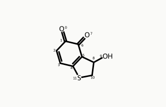 O=C1C=CC2=C(C1=O)C(O)CS2